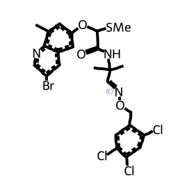 CSC(Oc1cc(C)c2ncc(Br)cc2c1)C(=O)NC(C)(C)/C=N/OCc1cc(Cl)c(Cl)cc1Cl